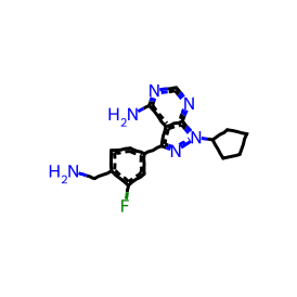 NCc1ccc(-c2nn(C3CCCC3)c3ncnc(N)c23)cc1F